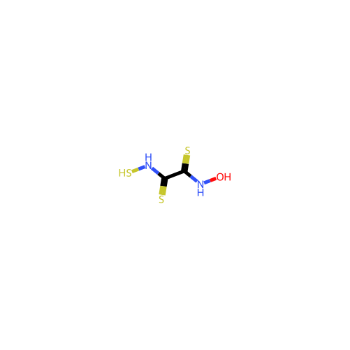 ONC(=S)C(=S)NS